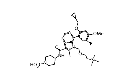 COc1cc(OCC2CC2)c(-c2ncnc3c(C(=O)NC4CCN(C(=O)O)CC4)c(C)n(COCC[Si](C)(C)C)c23)cc1F